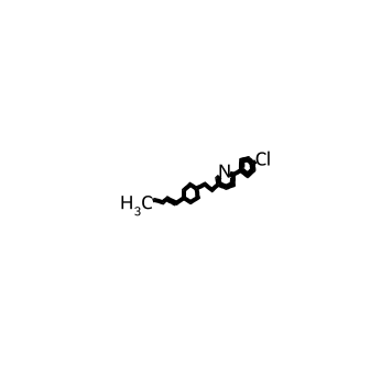 CCC/C=C/C1CCC(CCc2ccc(-c3ccc(Cl)cc3)nc2)CC1